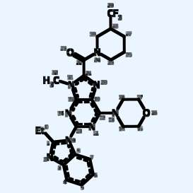 CCc1nc2ccccc2n1-c1nc(N2CCOCC2)c2nc(C(=O)N3CCCC(C(F)(F)F)C3)n(C)c2n1